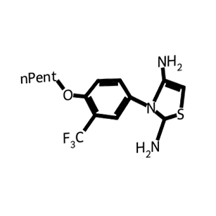 CCCCCOc1ccc(N2C(N)=CSC2N)cc1C(F)(F)F